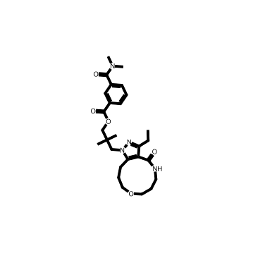 CCc1nn(CC(C)(C)COC(=O)c2cccc(C(=O)N(C)C)c2)c2c1C(=O)NCCCOCCC2